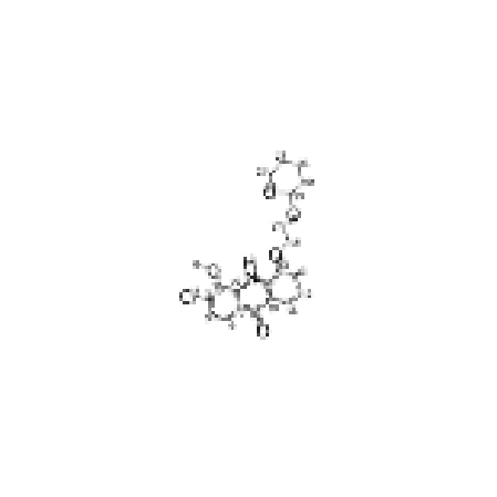 COc1c(Cl)ccc2c(=O)c3cccc(OCCOC4CCCCO4)c3[nH]c12